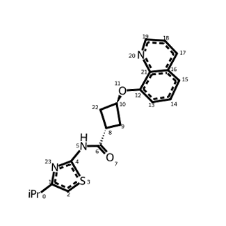 CC(C)c1csc(NC(=O)[C@H]2C[C@H](Oc3cccc4cccnc34)C2)n1